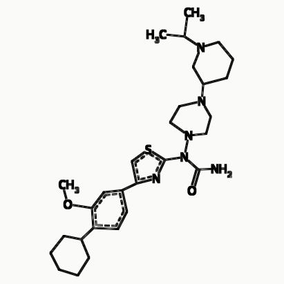 COc1cc(-c2csc(N(C(N)=O)N3CCN(C4CCCN(C(C)C)C4)CC3)n2)ccc1C1CCCCC1